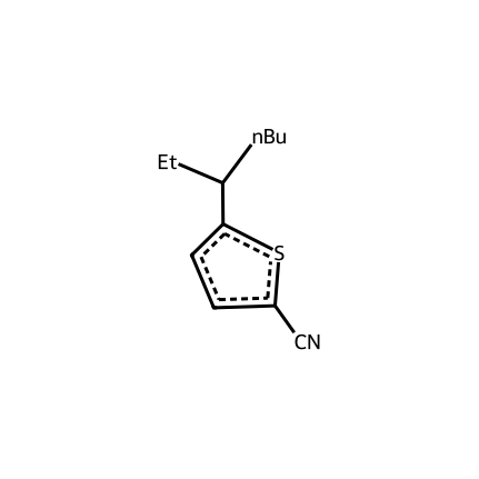 CCCCC(CC)c1ccc(C#N)s1